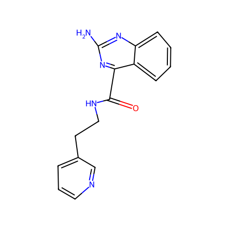 Nc1nc(C(=O)NCCc2cccnc2)c2ccccc2n1